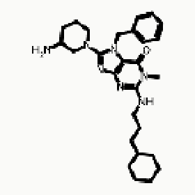 Cn1c(NCCCC2CCCCC2)nc2nc(N3CCCC(N)C3)n(Cc3ccccc3)c2c1=O